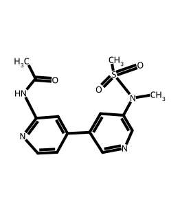 CC(=O)Nc1cc(-c2cncc(N(C)S(C)(=O)=O)c2)ccn1